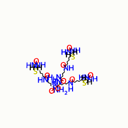 NC(=O)[C@H](CCCCNC(=O)CCCC[C@@H]1SC[C@@H]2NC(=O)N[C@@H]21)NC(=O)[C@H](CCCCNC(=O)CCCC[C@@H]1SC[C@@H]2NC(=O)N[C@@H]21)NC(=O)[C@@H](N)CCCCNC(=O)CCCC[C@@H]1SC[C@@H]2NC(=O)N[C@@H]21